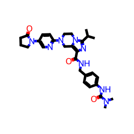 CC(C)c1nc(C(=O)NCc2ccc(NC(=O)N(C)C)cc2)c2n1CCN(c1ccc(N3CCCC3=O)cn1)C2